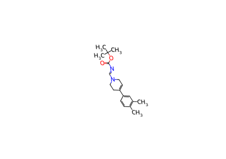 Cc1ccc(C2=CCN(C=NC(=O)OC(C)(C)C)CC2)cc1C